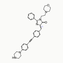 O=C1/C(=C/c2ccc(C#Cc3ccc(N4CCNCC4)cc3)cc2)N=C(c2ccccc2)N1CCN1CCOCC1